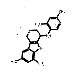 Cc1ccc(NC2CCCc3c2[nH]c2c(C)cc(C)cc32)c(C)c1